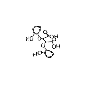 O=C(O)C(Oc1ccccc1O)C(Oc1ccccc1O)C(=O)O